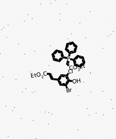 CCOC(=O)/C=C/c1cc(Cl)c(O)c(Br)c1.CCOC(=O)C=P(c1ccccc1)(c1ccccc1)c1ccccc1